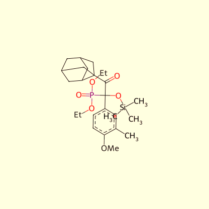 CCOP(=O)(OCC)C(O[Si](C)(C)C)(C(=O)C12CC3CC(CC1C3)C2)c1ccc(OC)c(C)c1